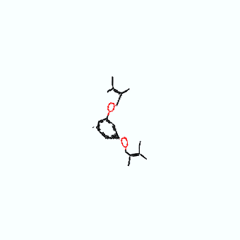 CC(C)=C(C)COc1c[c]cc(OCC(C)=C(C)C)c1